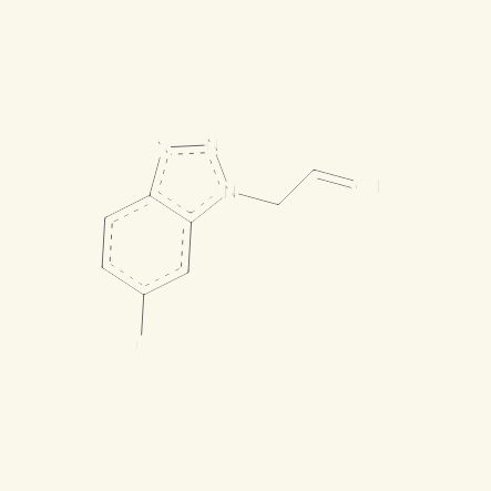 C=CCn1nnc2ccc(Cl)cc21